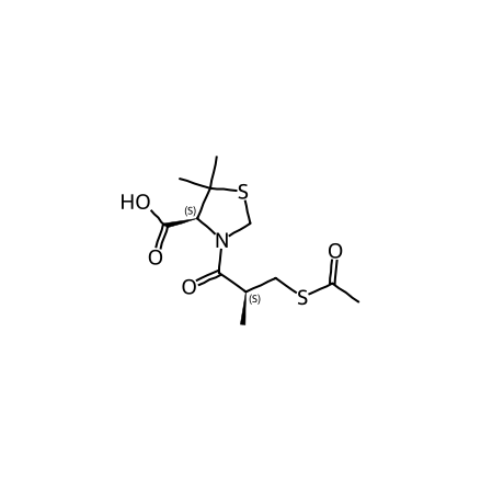 CC(=O)SC[C@@H](C)C(=O)N1CSC(C)(C)[C@@H]1C(=O)O